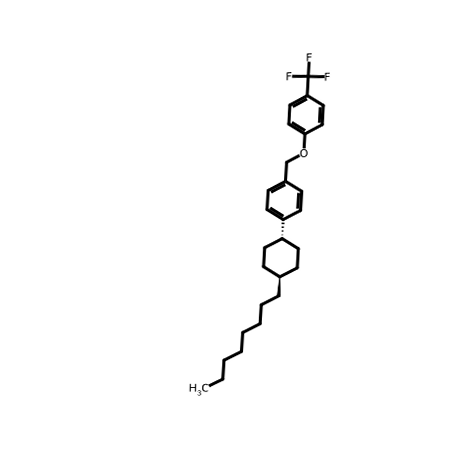 CCCCCCCC[C@H]1CC[C@H](c2ccc(COc3ccc(C(F)(F)F)cc3)cc2)CC1